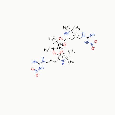 CCC(C)(C)NC(CCCNC(=N)N[N+](=O)[O-])C(=O)OC(C)(C)CC(C)(C)OC(=O)C(CCCNC(=N)N[N+](=O)[O-])NC(C)(C)C